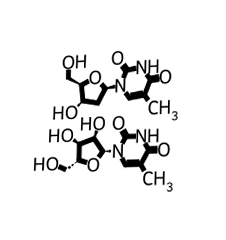 Cc1cn([C@@H]2O[C@H](CO)[C@@H](O)[C@H]2O)c(=O)[nH]c1=O.Cc1cn([C@H]2C[C@H](O)[C@@H](CO)O2)c(=O)[nH]c1=O